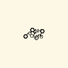 O=C(CN1CCC[C@@H]1C(=O)c1c[nH]c2cccc(OCc3ccccc3)c12)c1ccccc1